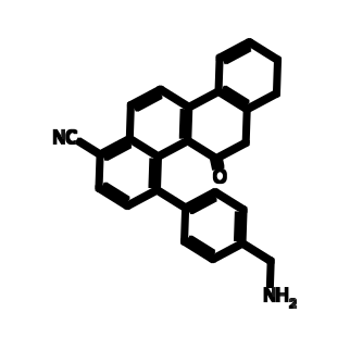 N#Cc1ccc(-c2ccc(CN)cc2)c2c3c(ccc12)C1=C(CCC=C1)CC3=O